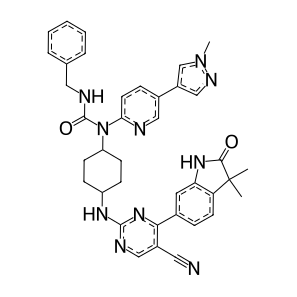 Cn1cc(-c2ccc(N(C(=O)NCc3ccccc3)C3CCC(Nc4ncc(C#N)c(-c5ccc6c(c5)NC(=O)C6(C)C)n4)CC3)nc2)cn1